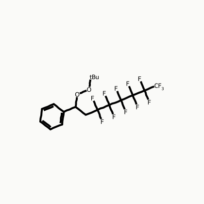 CC(C)(C)OOC(CC(F)(F)C(F)(F)C(F)(F)C(F)(F)C(F)(F)C(F)(F)F)c1ccccc1